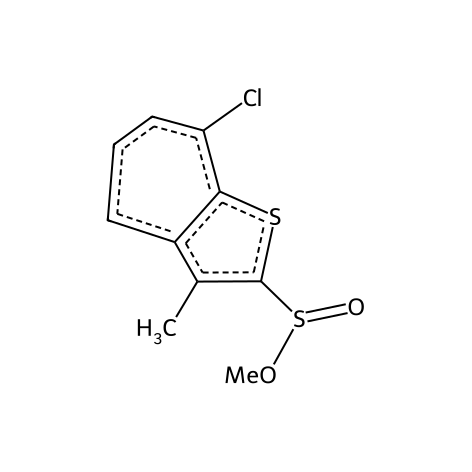 COS(=O)c1sc2c(Cl)cccc2c1C